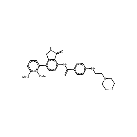 COc1cccc(-c2ccc(NC(=O)c3ccc(NCCN4CCOCC4)cc3)c3c2CNC3=O)c1OC